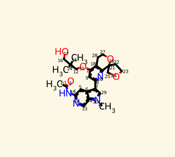 CC(=O)Nc1cc2c(-c3cc(OCC(C)(C)CO)c4c(n3)C3(CCOC3)OCC4)cn(C)c2cn1